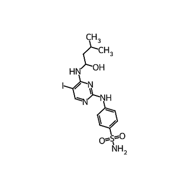 CC(C)CC(O)Nc1nc(Nc2ccc(S(N)(=O)=O)cc2)ncc1I